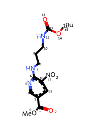 COC(=O)c1cnc(NCCCNC(=O)OC(C)(C)C)c([N+](=O)[O-])c1